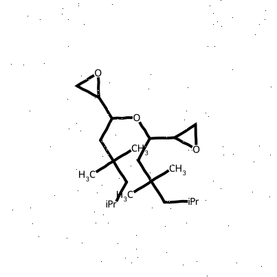 CC(C)CC(C)(C)CC(OC(CC(C)(C)CC(C)C)C1CO1)C1CO1